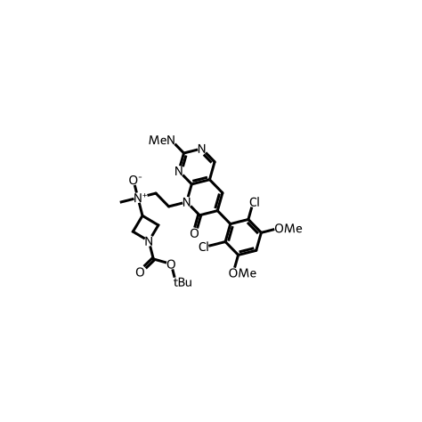 CNc1ncc2cc(-c3c(Cl)c(OC)cc(OC)c3Cl)c(=O)n(CC[N+](C)([O-])C3CN(C(=O)OC(C)(C)C)C3)c2n1